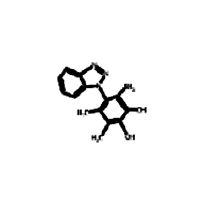 Bc1c(O)c(O)c(C)c(C)c1-n1nnc2ccccc21